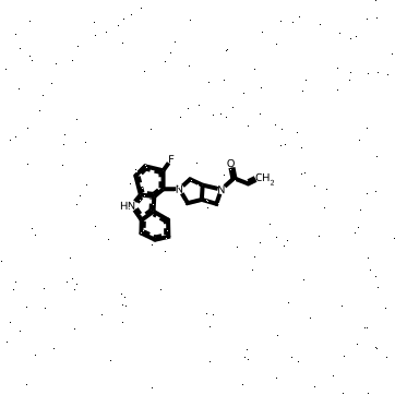 C=CC(=O)N1CC2CN(c3c(F)ccc4[nH]c5ccccc5c34)CC21